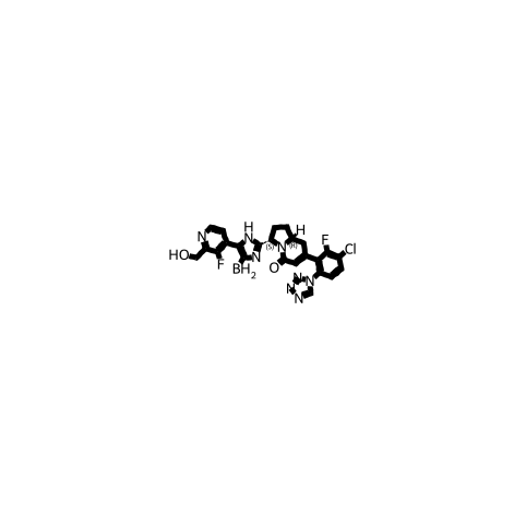 Bc1nc([C@@H]2CC[C@@H]3CC(c4c(-n5cnnn5)ccc(Cl)c4F)=CC(=O)N32)[nH]c1-c1ccnc(CO)c1F